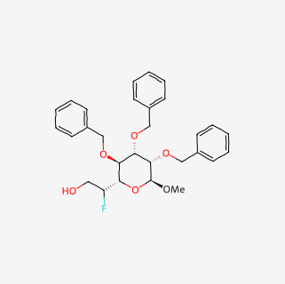 CO[C@H]1O[C@H](C(F)CO)[C@@H](OCc2ccccc2)[C@H](OCc2ccccc2)[C@@H]1OCc1ccccc1